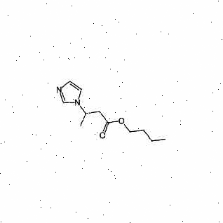 CCCCOC(=O)CC(C)n1ccnc1